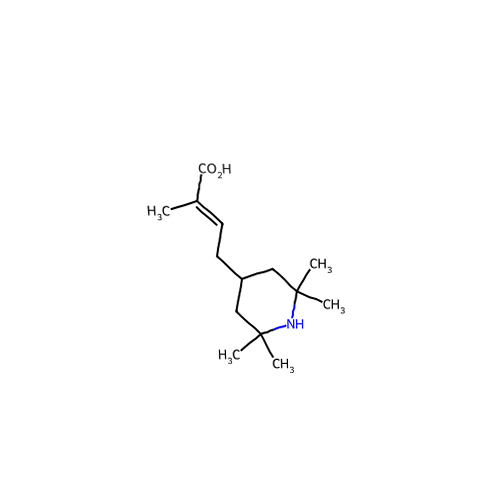 CC(=CCC1CC(C)(C)NC(C)(C)C1)C(=O)O